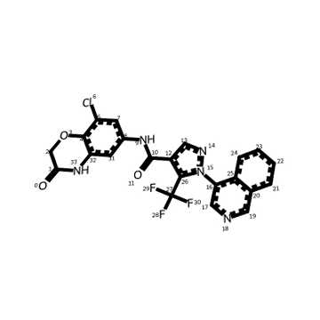 O=C1COc2c(Cl)cc(NC(=O)c3cnn(-c4cncc5ccccc45)c3C(F)(F)F)cc2N1